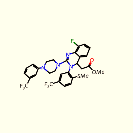 COC(=O)CC1c2cccc(F)c2N=C(N2CCN(c3cccc(C(F)(F)F)c3)CC2)N1c1cc(C(F)(F)F)ccc1SC